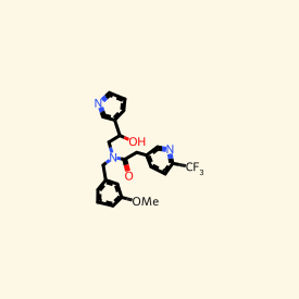 COc1cccc(CN(CC(O)c2cccnc2)C(=O)Cc2ccc(C(F)(F)F)nc2)c1